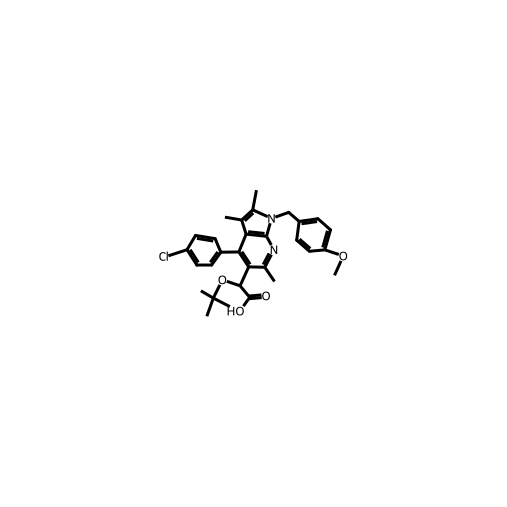 COc1ccc(Cn2c(C)c(C)c3c(-c4ccc(Cl)cc4)c(C(OC(C)(C)C)C(=O)O)c(C)nc32)cc1